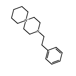 c1ccc(CCN2CC[N+]3(CCCCC3)CC2)cc1